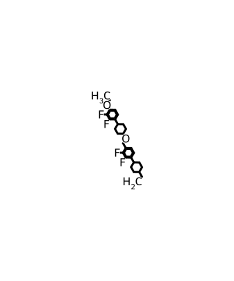 C=CC1CCC(c2ccc(COC3CCC(c4ccc(OCC)c(F)c4F)CC3)c(F)c2F)CC1